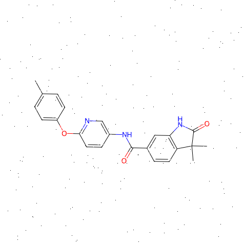 Cc1ccc(Oc2ccc(NC(=O)c3ccc4c(c3)NC(=O)C4(C)C)cn2)cc1